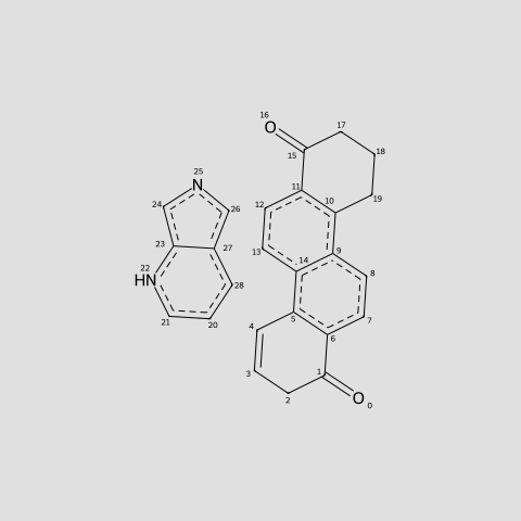 O=C1CC=Cc2c1ccc1c3c(ccc21)C(=O)CCC3.c1c[nH]c2cncc-2c1